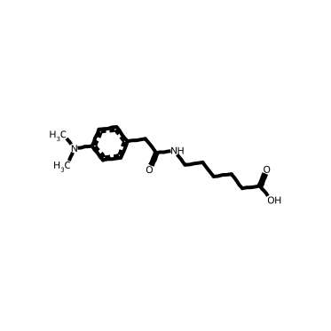 CN(C)c1ccc(CC(=O)NCCCCCC(=O)O)cc1